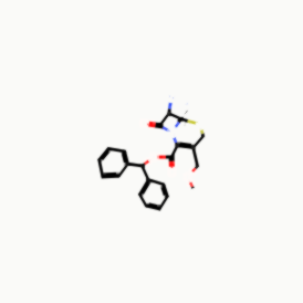 COCC1=C(C(=O)OC(c2ccccc2)c2ccccc2)N2C(=O)C(N)[C@@H]2SC1